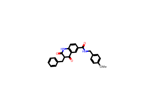 COc1ccc(CNC(=O)c2ccc3c(c2)C(=O)C(Cc2ccccc2)C(=O)N3)cc1